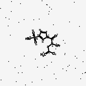 C=C(Cl)CN(CCC)C(=O)n1cnc(S(=O)(=O)CCCC)n1